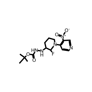 CC(C)(C)OC(=O)NNC1CCCN(c2ccncc2[N+](=O)[O-])C1F